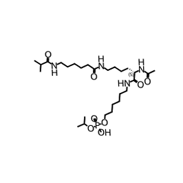 CC(=O)N[C@@H](CCCCNC(=O)CCCCCNC(=O)C(C)C)C(=O)NCCCCCCOP(=O)(O)OC(C)C